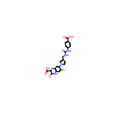 O=C(NCc1ccn(-c2cc3nc(C(=O)O)c(=O)[nH]c3cc2Cl)c1)Nc1ccc(C(=O)O)cc1